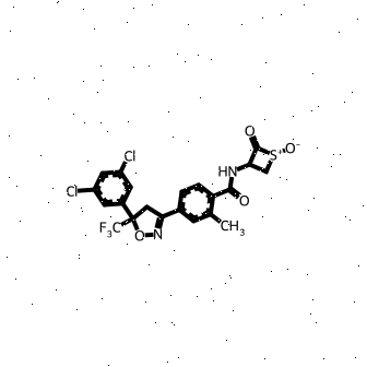 Cc1cc(C2=NOC(c3cc(Cl)cc(Cl)c3)(C(F)(F)F)C2)ccc1C(=O)NC1C[S+]([O-])C1=O